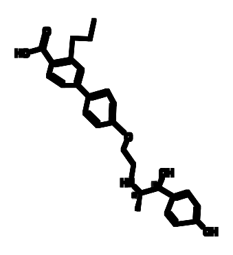 CCCc1cc(-c2ccc(OCCN[C@H](C)[C@@H](O)c3ccc(O)cc3)cc2)ccc1C(=O)O